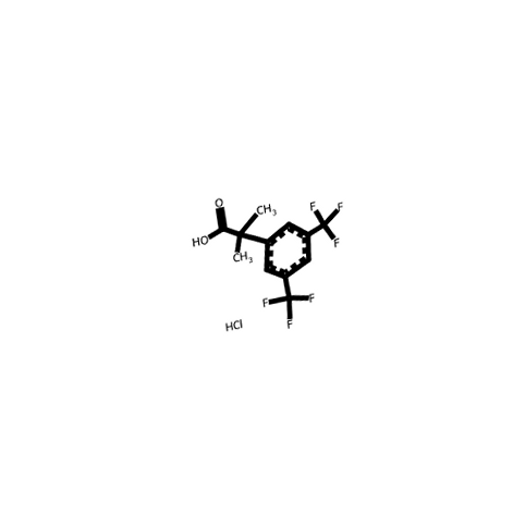 CC(C)(C(=O)O)c1cc(C(F)(F)F)cc(C(F)(F)F)c1.Cl